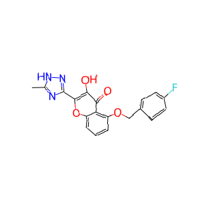 Cc1nc(-c2oc3cccc(OCc4ccc(F)cc4)c3c(=O)c2O)n[nH]1